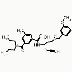 C#CC[C@H](NC(=O)c1cc(C)cc(C(=O)N(CCC)CCC)c1)[C@H](O)CNCc1cccc(OC)c1